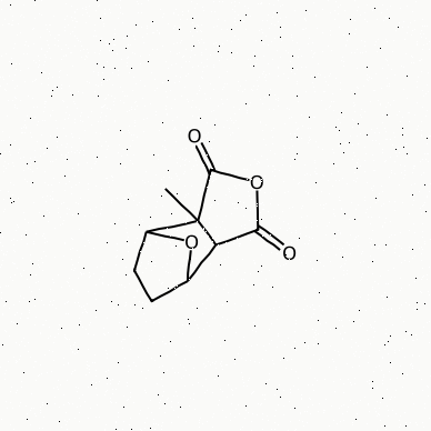 CC12C(=O)OC(=O)C1C1CCC2O1